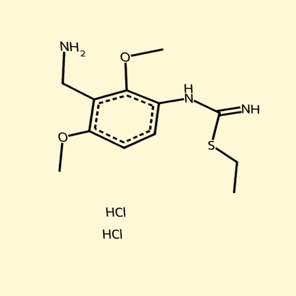 CCSC(=N)Nc1ccc(OC)c(CN)c1OC.Cl.Cl